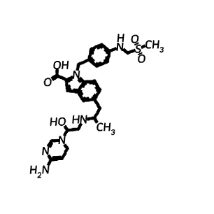 CC(Cc1ccc2c(c1)cc(C(=O)O)n2Cc1ccc(NCS(C)(=O)=O)cc1)NCC(O)N1C=NC(N)=CC1